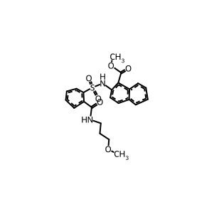 COCCCNC(=O)c1ccccc1S(=O)(=O)Nc1ccc2ccccc2c1C(=O)OC